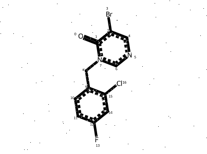 O=c1c(Br)cncn1Cc1ccc(F)cc1Cl